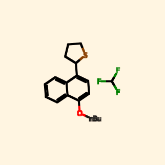 CCCCOc1ccc(C2CCCS2)c2ccccc12.FC(F)F